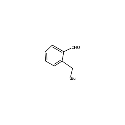 CC(C)(C)Cc1ccccc1C=O